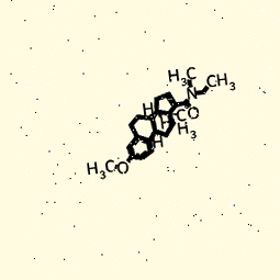 CCN(CC)C(=O)C1=CC[C@H]2[C@@H]3CCc4cc(OC)ccc4[C@H]3CC[C@]12C